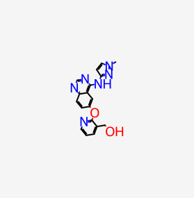 Cn1ccc(Nc2ncnc3ccc(Oc4ncccc4CO)cc23)n1